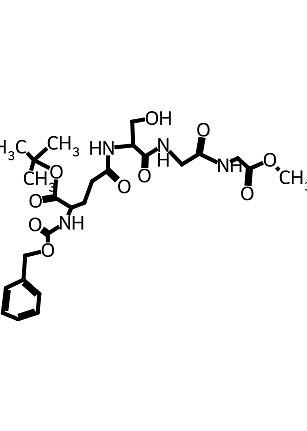 COC(=O)CNC(=O)CNC(=O)C(CO)NC(=O)CCC(NC(=O)OCc1ccccc1)C(=O)OC(C)(C)C